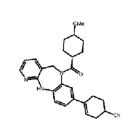 CO[C@H]1CC[C@@H](C(=O)N2Cc3cccnc3Nc3ccc(C4=CCC(C#N)CC4)cc32)CC1